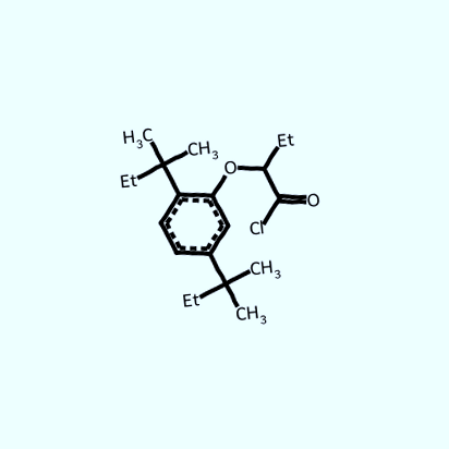 CCC(Oc1cc(C(C)(C)CC)ccc1C(C)(C)CC)C(=O)Cl